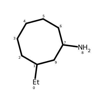 CCC1CCCCCC(N)C1